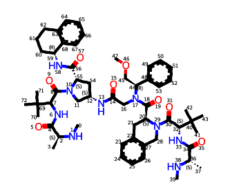 CN[C@@H](C)C(=O)NC(C(=O)N1C[C@@H](NC(=O)CN(C(=O)[C@@H]2Cc3ccccc3CN2C(=O)[C@@H](NC(=O)[C@H](C)NC)C(C)(C)C)[C@@H](COC)c2ccccc2)C[C@H]1C(=O)N[C@@H]1CCCc2ccccc21)C(C)(C)C